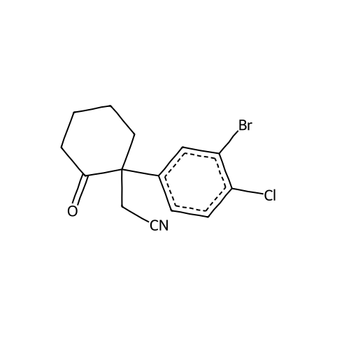 N#CCC1(c2ccc(Cl)c(Br)c2)CCCCC1=O